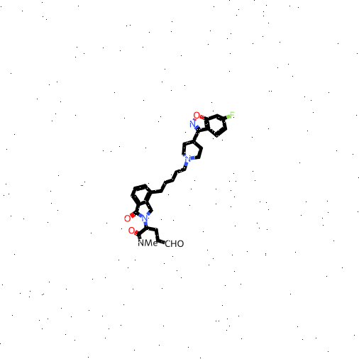 CNC(=O)C(CCC=O)N1Cc2c(CCCCCN3CCC(c4noc5cc(F)ccc45)CC3)cccc2C1=O